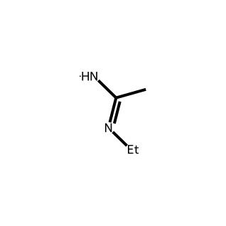 CC/N=C(\C)[NH]